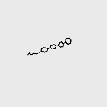 CCCCC[C@H]1CC[C@H]([C@H]2CC[C@H](c3ccc(-c4ccccc4)cc3)CC2)CC1